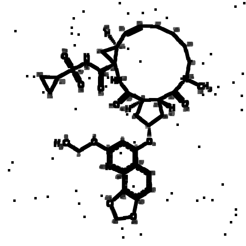 CCOc1cc(O[C@@H]2C[C@H]3C(=O)N[C@]4(C(=O)NS(=O)(=O)C5CC5)C[C@H]4/C=C\CCCCN(C)C(=O)[C@@H]3C2)c2ccc3c(c2n1)OCO3